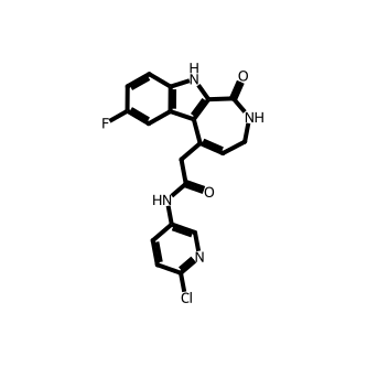 O=C(CC1=CCNC(=O)c2[nH]c3ccc(F)cc3c21)Nc1ccc(Cl)nc1